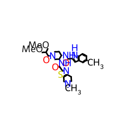 COCC(COC)C(=O)N1CC[C@H](NC(=O)c2cc3cc(C)ccc3[nH]2)[C@H](NC(=O)c2nc3c(s2)CN(C)CC3)C1